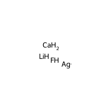 F.[Ag].[CaH2].[LiH]